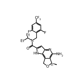 CCC(CC)N(Cc1c(F)cc(C(F)(F)F)cc1F)C(=O)c1cc2nc(N)c3c(c2[nH]1)CO[C@@H]3C